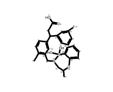 Cc1ccc(C(CC(=O)O)c2cccc(F)c2)cc1CN1CC(C)Oc2ccccc2S1(O)O